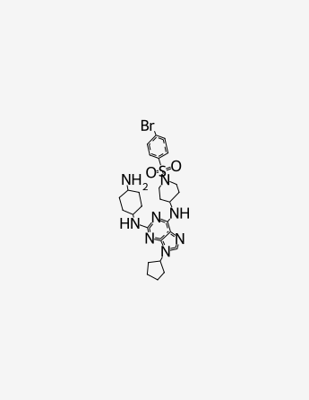 NC1CCC(Nc2nc(NC3CCN(S(=O)(=O)c4ccc(Br)cc4)CC3)c3ncn(C4CCCC4)c3n2)CC1